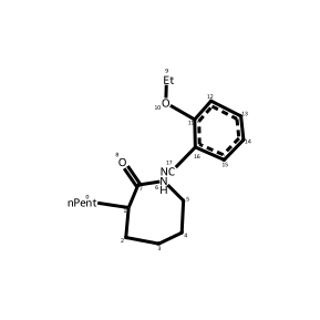 CCCCCC1CCCCNC1=O.CCOc1ccccc1C#N